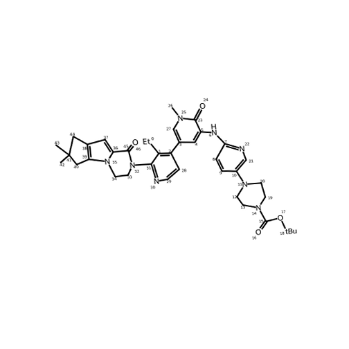 CCc1c(-c2cc(Nc3ccc(N4CCN(C(=O)OC(C)(C)C)CC4)cn3)c(=O)n(C)c2)ccnc1N1CCn2c(cc3c2CC(C)(C)C3)C1=O